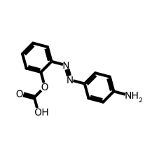 Nc1ccc(N=Nc2ccccc2OC(=O)O)cc1